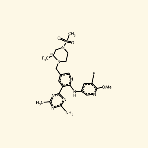 COc1ncc(Nc2ncc(CN3CCN(S(C)(=O)=O)C[C@@H]3C(F)(F)F)cc2-c2nc(C)nc(N)n2)cc1F